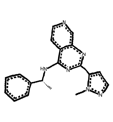 C[C@@H](Nc1nc(-c2ccnn2C)nc2cnccc12)c1ccccc1